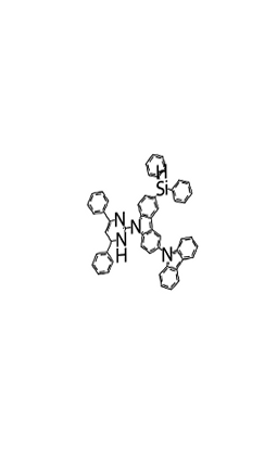 C1=C(c2ccccc2)N=C(n2c3ccc(-n4c5ccccc5c5ccccc54)cc3c3cc([SiH](c4ccccc4)c4ccccc4)ccc32)NC1c1ccccc1